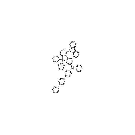 c1ccc(-c2ccc(-c3ccc(N(c4ccccc4)c4ccc5c(c4)C(c4ccccc4)(c4ccccc4)c4cccc(-n6c7ccccc7c7ccccc76)c4-5)cc3)cc2)cc1